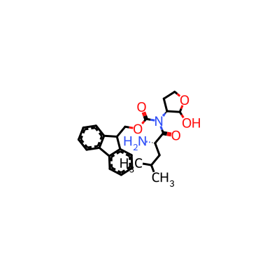 CC(C)C[C@H](N)C(=O)N(C(=O)OCC1c2ccccc2-c2ccccc21)[C@H]1CCOC1O